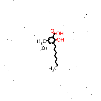 CCCCCCCCc1cc(C)cc(C(=O)O)c1O.[Zn]